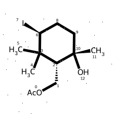 CC(=O)OC[C@@H]1C(C)(C)[C@@H](I)CC[C@]1(C)O